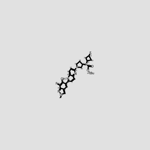 Cn1cc2cc(-c3ccc4nc(N5CCC(N(C(=O)OC(C)(C)C)C6CC(F)C6)C5)ccc4n3)c(O)c(F)c2n1